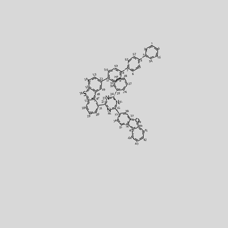 c1ccc(-c2ccc(-c3ccc(-c4ccc5sc6cccc(-c7nc(-c8ccccc8)nc(-c8ccc9c(c8)oc8ccccc89)n7)c6c5c4)cc3)cc2)cc1